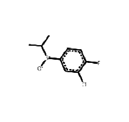 CC(C)[S+]([O-])c1ccc(F)c(Cl)c1